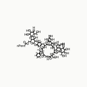 CCCCCC(=O)OCC1OC(Oc2ccc(CC3NC(=O)C(C(C)c4ccccc4)NC(=O)CNC(=O)C(CO)NC(=O)C(C(O)C4CNC(=N)N4C4OC(CO)C(O)C(O)C4O)NC(=O)C(C(O)C4CNC(=N)N4)NC3=O)cc2)C(O)C(O)C1OC1OC(CO)C(O)C(O)C1O